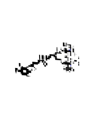 C/C(=N/O)C(C)(C)NCCC(CCNC(=O)CCCC(=O)Sc1c(F)c(F)cc(F)c1F)CCNC(C)(C)/C(C)=N\O